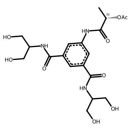 CC(=O)O[C@@H](C)C(=O)Nc1cc(C(=O)NC(CO)CO)cc(C(=O)NC(CO)CO)c1